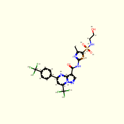 Cc1nc(NC(=O)c2cnn3c(C(F)(F)F)cc(-c4ccc(C(F)(F)F)cc4)nc23)sc1S(=O)(=O)NCCO